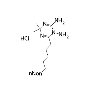 CCCCCCCCCCCCCCC1=NC(C)(C)N=C(N)N1N.Cl